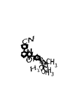 COc1c(-c2ccc(N3CC(C(C)(C)O)O[C@@H](C)C3)cc2)cnc2c(-c3ccc(C#N)cc3)cccc12